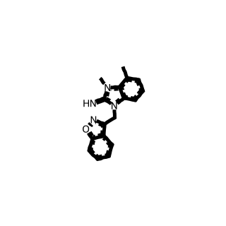 Cc1cccc2c1n(C)c(=N)n2Cc1noc2ccccc12